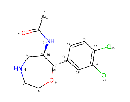 CC(=O)C(=O)N[C@@H]1CNCCO[C@H]1c1ccc(Cl)c(Cl)c1